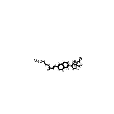 COCCCC(C)/C=C/C1=Cc2ccc([C@H]3CC[C@]4(COC(=O)N4)C3)cc2CC1